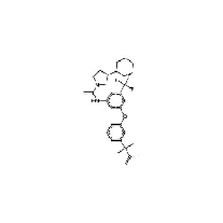 C=C(Nc1cc(Oc2cccc(C(C)(C)C(=C)C)c2)cc(C(F)(F)F)c1)N1CCC(C2CCCCC2)C1